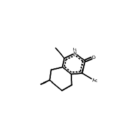 CC(=O)c1c2c(c(C)[nH]c1=O)CC(C)CC2